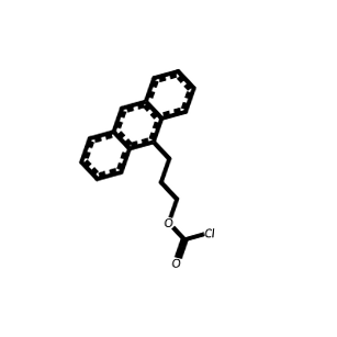 O=C(Cl)OCCCc1c2ccccc2cc2ccccc12